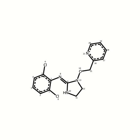 Clc1cccc(Cl)c1/N=C1\NCCN1OCc1ccccn1